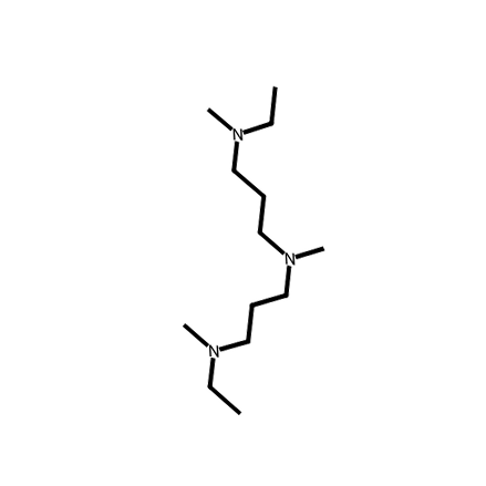 CCN(C)CCCN(C)CCCN(C)CC